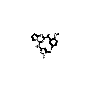 COc1ccc(F)cc1C(=O)c1nc(Nc2cc(C)[nH]n2)n2cccc2n1